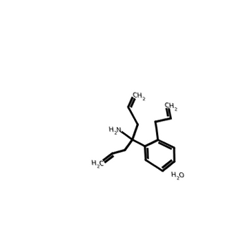 C=CCc1ccccc1C(N)(CC=C)CC=C.O